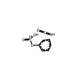 N=C=O.O=[PH](O)Oc1ccccc1